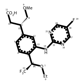 CCO[C@H](c1ccc([C@@H](COC)CC(=O)O)cc1Nc1ncc(F)cn1)C(F)(F)F